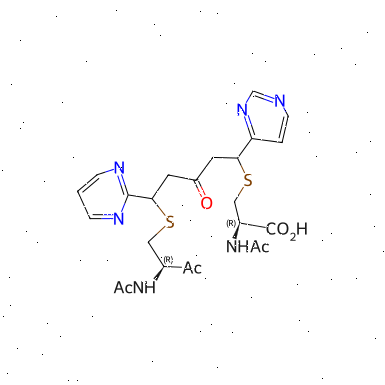 CC(=O)N[C@@H](CSC(CC(=O)CC(SC[C@H](NC(C)=O)C(=O)O)c1ccncn1)c1ncccn1)C(C)=O